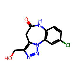 O=C1Cc2c(CO)nnn2-c2cc(Cl)ccc2N1